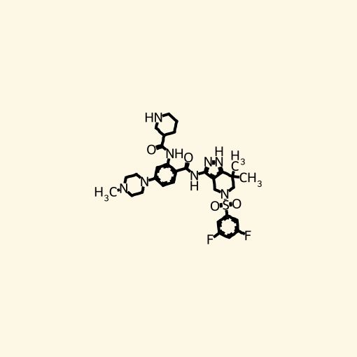 CN1CCN(c2ccc(C(=O)Nc3n[nH]c4c3CN(S(=O)(=O)c3cc(F)cc(F)c3)CC4(C)C)c(NC(=O)C3CCCNC3)c2)CC1